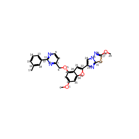 COc1cc(OCc2ccnc(-c3cccc(C)c3)n2)c2cc(-c3cn4nc(OC)sc4n3)oc2c1